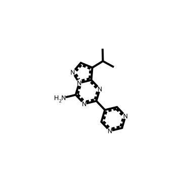 CC(C)c1cnn2c(N)nc(-c3cncnc3)nc12